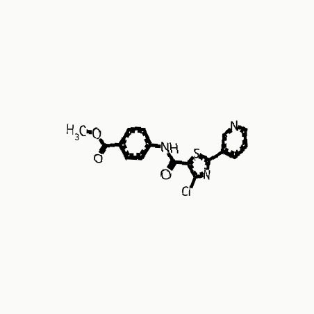 COC(=O)c1ccc(NC(=O)c2sc(-c3cccnc3)nc2Cl)cc1